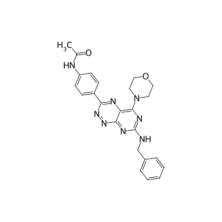 CC(=O)Nc1ccc(-c2nnc3nc(NCc4ccccc4)nc(N4CCOCC4)c3n2)cc1